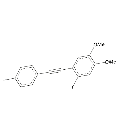 COc1cc(I)c(C#Cc2ccc(C)cc2)cc1OC